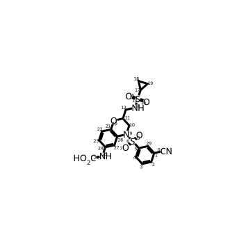 N#Cc1cccc(S(=O)(=O)N2CC(CNS(=O)(=O)C3CC3)Oc3ccc(NC(=O)O)cc32)c1